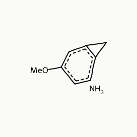 COc1ccc2c(c1)C2.N